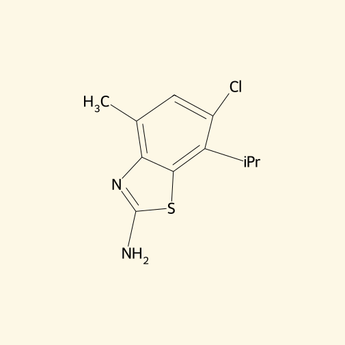 Cc1cc(Cl)c(C(C)C)c2sc(N)nc12